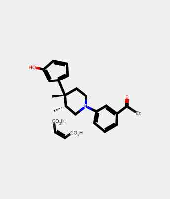 CCC(=O)c1cccc(N2CC[C@@](C)(c3cccc(O)c3)[C@@H](C)C2)c1.O=C(O)/C=C\C(=O)O